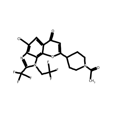 CC(=O)N1CCC(c2cc(=O)c3cc(Cl)c4nc(C(F)(F)F)n(CC(F)(F)F)c4c3o2)CC1